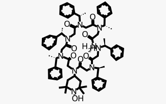 C[C@H](NCC(=O)N(CC(=O)N(CC(=O)N(CC(=O)N(CC(=O)N(CC(=O)N(CC(N)=O)[C@@H](C)c1ccccc1)[C@@H](C)c1ccccc1)[C@@H](C)c1ccccc1)[C@@H](C)c1ccccc1)C1CC(C)(C)N(O)C(C)(C)C1)[C@@H](C)c1ccccc1)c1ccccc1